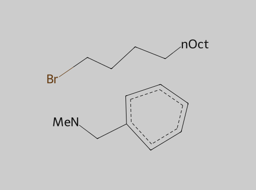 CCCCCCCCCCCCBr.CNCc1ccccc1